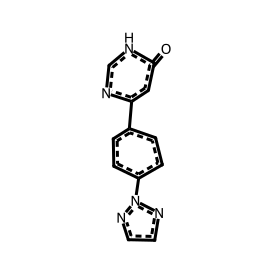 O=c1cc(-c2ccc(-n3nccn3)cc2)nc[nH]1